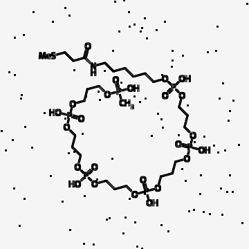 CSCCC(=O)NCCCCCCOP(=O)(O)OCCCOP(=O)(O)OCCCOP(=O)(O)OCCCOP(=O)(O)OCCCOP(=O)(O)OCCCOP(C)(=O)O